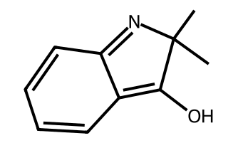 CC1(C)N=c2ccccc2=C1O